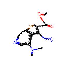 COC(=O)c1sc2cncc(N(C)C)c2c1N